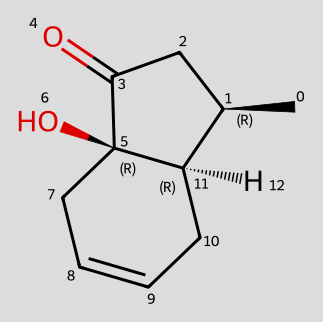 C[C@@H]1CC(=O)[C@@]2(O)CC=CC[C@H]12